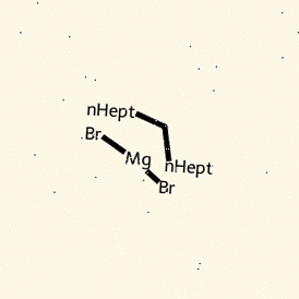 [Br][Mg][Br].[CH2]CCCCCCCCCCCCCC